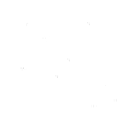 COc1ccc(F)cc1-c1ccnc2c1c(C(=O)O)c(C1C=CNCC1)n2COCC[Si](C)(C)C